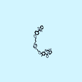 Cc1cc2c(cc1OCCCCN1CCN(CCCCOc3ccc(-c4nc5ccccc5s4)cc3)CC1)N=C[C@@H]1CCCN1C2=O